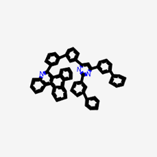 c1ccc(-c2cccc(-c3cc(-c4cccc(-c5cccc(-c6nc7ccccc7c7c8ccccc8c8ccccc8c67)c5)c4)nc(-c4cccc(-c5ccccc5)c4)n3)c2)cc1